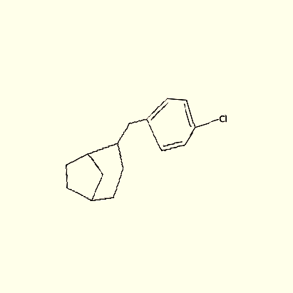 Clc1ccc(CC2CCC3CCC2C3)cc1